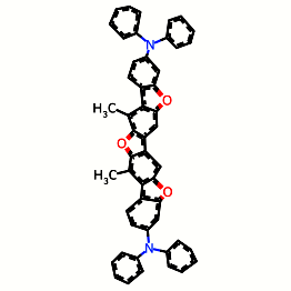 Cc1c2oc3c(C)c4c(cc3c2cc2oc3cc(N(c5ccccc5)c5ccccc5)ccc3c12)oc1cc(N(c2ccccc2)c2ccccc2)ccc14